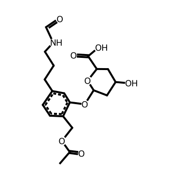 CC(=O)OCc1ccc(CCCNC=O)cc1OC1CC(O)CC(C(=O)O)O1